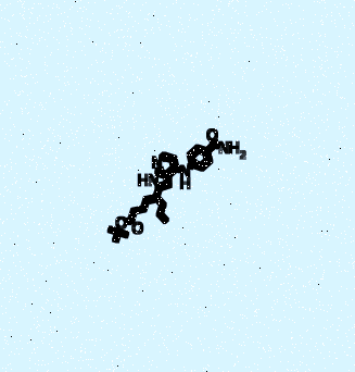 CCC/C(=C\CCC(=O)OC(C)(C)C)c1cc2c(Nc3ccc(C(N)=O)cc3)ccnc2[nH]1